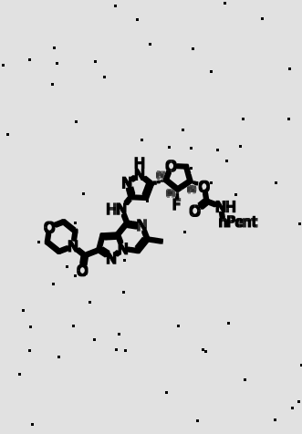 CCCCCNC(=O)O[C@H]1CO[C@@H](c2cc(Nc3nc(C)cn4nc(C(=O)N5CCOCC5)cc34)n[nH]2)[C@H]1F